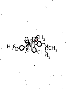 CCN(CC)Cc1ccc(C2(N3CCCC3c3ncco3)C(=O)N(S(=O)(=O)c3ccc(OC)cc3)c3ccc(Cl)cc32)c(OC)c1